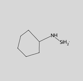 [SiH2]NC1CCCCC1